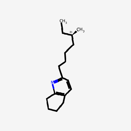 CC[C@@H](C)CCCCc1ccc2c(n1)CCCC2